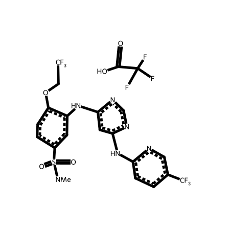 CNS(=O)(=O)c1ccc(OCC(F)(F)F)c(Nc2cc(Nc3ccc(C(F)(F)F)cn3)ncn2)c1.O=C(O)C(F)(F)F